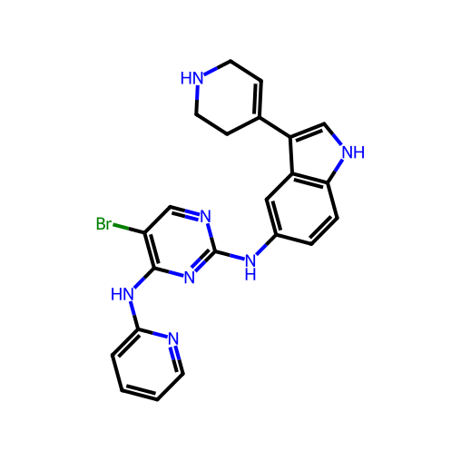 Brc1cnc(Nc2ccc3[nH]cc(C4=CCNCC4)c3c2)nc1Nc1ccccn1